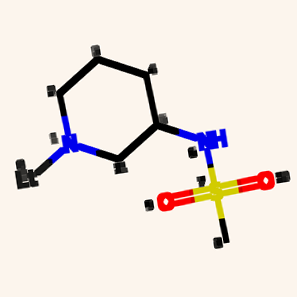 CCN1CCCC(NS(C)(=O)=O)C1